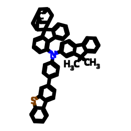 CC1(C)c2ccccc2-c2ccc(N(c3ccc(-c4ccc5c(c4)sc4ccccc45)cc3)c3cccc4c3-c3ccccc3C43C4CCC5CC(C4)CC3C5)cc21